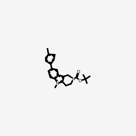 Cc1ccc(-c2ccc3c(c2)c2c(n3C)CCN(C(=O)OC(C)(C)C)C2)cc1